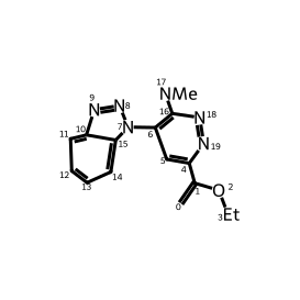 C=C(OCC)c1cc(-n2nnc3ccccc32)c(NC)nn1